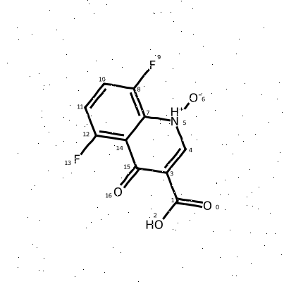 O=C(O)C1=C[NH+]([O-])c2c(F)ccc(F)c2C1=O